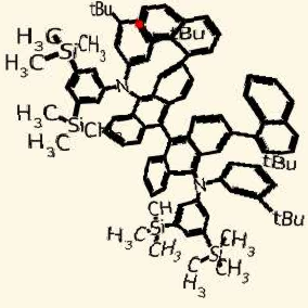 CC(C)(C)c1cc(N(c2cc([Si](C)(C)C)cc([Si](C)(C)C)c2)c2c3ccccc3c(-c3c4ccccc4c(N(c4cc(C(C)(C)C)cc(C(C)(C)C)c4)c4cc([Si](C)(C)C)cc([Si](C)(C)C)c4)c4cc(-c5cccc6ccccc56)ccc34)c3ccc(-c4cccc5ccccc45)cc23)cc(C(C)(C)C)c1